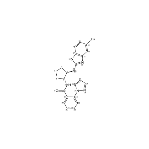 O=C(N[C@@H]1CCC[C@H]1Nc1nc2cc(F)ccc2s1)c1ccccc1-n1nccn1